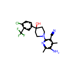 Cc1nc(N2CCC(O)(c3ccc(Cl)c(C(F)(F)F)c3)CC2)c(C#N)c(C)c1N